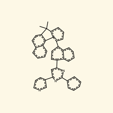 CC1(C)c2cccc(-c3ccc(-c4cc(-c5cccnc5)nc(-c5ccccc5)n4)c4ccccc34)c2-c2c1ccc1ccccc21